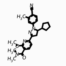 COc1nc(C2=NN(c3ccc(C#N)c(C)c3)C(C3CCCC3)C2)ccc1C(=O)N(C)C